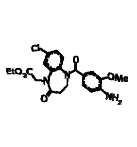 CCOC(=O)CN1C(=O)CCN(C(=O)c2ccc(N)c(OC)c2)c2ccc(Cl)cc21